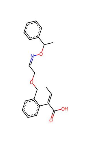 C/C=C(/C(=O)O)c1ccccc1COC/C=N\OC(C)c1ccccc1